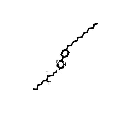 CCCCCCCCCCCCc1ccc(-c2ncc(OCCC(F)C(F)CCCCC)cn2)cc1